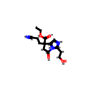 CCOC(=O)C1(CCC#N)CC(=O)n2c1cnc2CCO